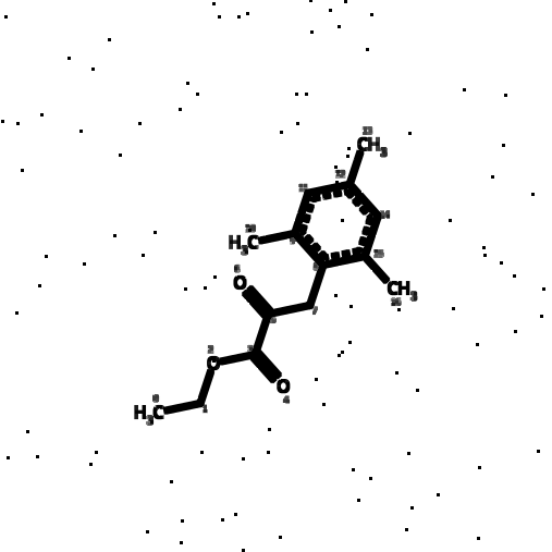 CCOC(=O)C(=O)Cc1c(C)cc(C)cc1C